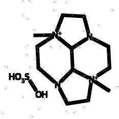 C[N+]12CCN3CC[N+]4(C)CCN(CC1)C4C32.O=S(=O)(O)O